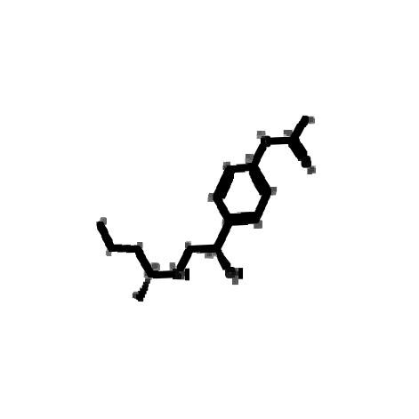 CCC[C@@H](C)NC[C@H](O)c1ccc(OC(C)=O)cc1